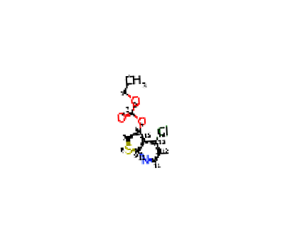 CCOC(=O)Oc1csc2nccc(Cl)c12